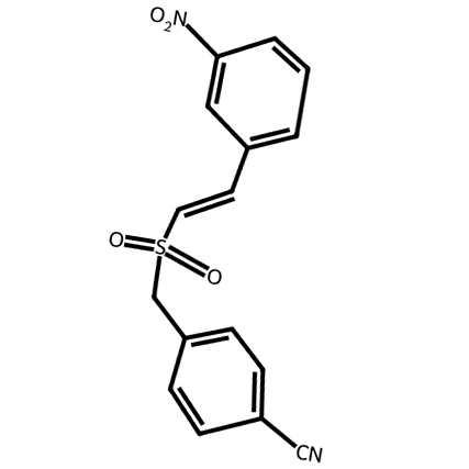 N#Cc1ccc(CS(=O)(=O)C=Cc2cccc([N+](=O)[O-])c2)cc1